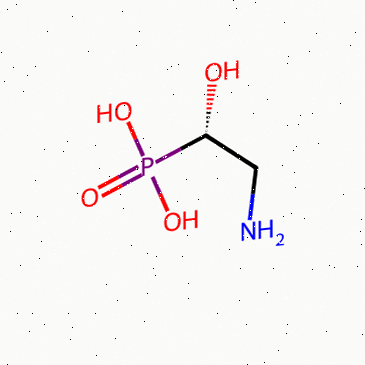 NC[C@@H](O)P(=O)(O)O